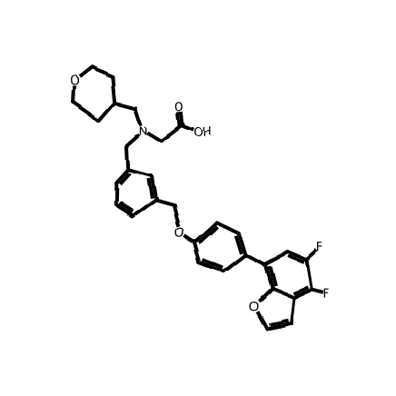 O=C(O)CN(Cc1cccc(COc2ccc(-c3cc(F)c(F)c4ccoc34)cc2)c1)CC1CCOCC1